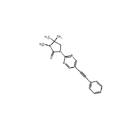 CN1C(=O)N(c2ncc(C#Cc3ccccc3)cn2)CC1(C)C